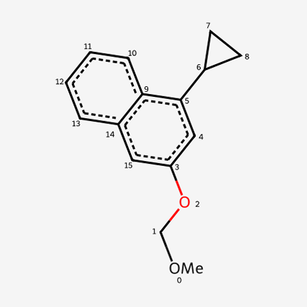 COCOc1cc(C2CC2)c2ccccc2c1